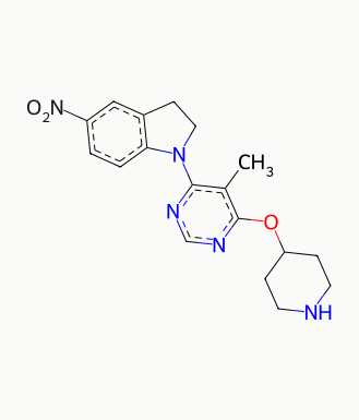 Cc1c(OC2CCNCC2)ncnc1N1CCc2cc([N+](=O)[O-])ccc21